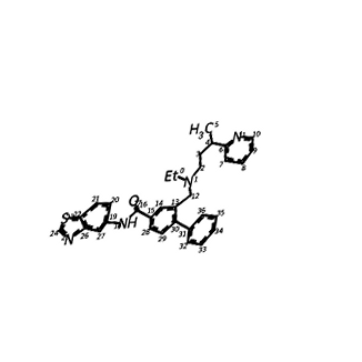 CCN(CCC(C)c1ccccn1)Cc1cc(C(=O)Nc2ccc3scnc3c2)ccc1-c1ccccc1